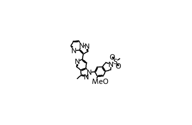 COc1cc2c(cc1-n1nc(C)c3cnc(-c4cnn5cccnc45)cc31)CN(S(C)(=O)=O)C2